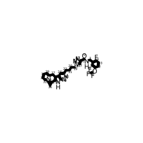 O=C(NCc1cc(OC(F)(F)F)ccc1F)c1cn(CCCCc2cc3c(Cc4ccccn4)c(C4CC4)[nH]c3nn2)nn1